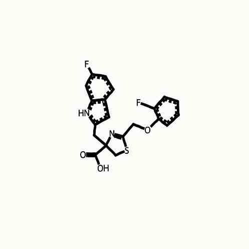 O=C(O)C1(Cc2cc3ccc(F)cc3[nH]2)CSC(COc2ccccc2F)=N1